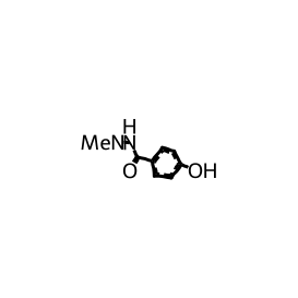 CNNC(=O)c1ccc(O)cc1